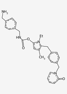 CCn1c(OC(=O)NCc2ccc(CN)cc2)cc(C)c1Cc1ccc(Cn2ccccc2=O)cc1